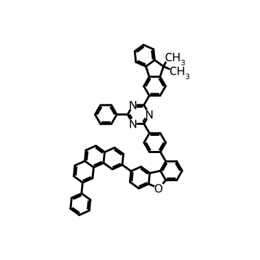 CC1(C)c2ccccc2-c2cc(-c3nc(-c4ccccc4)nc(-c4ccc(-c5cccc6oc7ccc(-c8ccc9ccc%10ccc(-c%11ccccc%11)cc%10c9c8)cc7c56)cc4)n3)ccc21